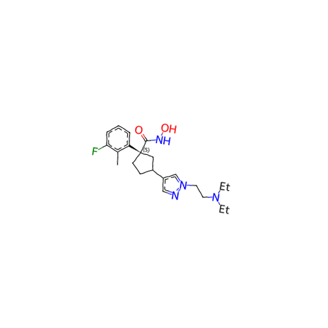 CCN(CC)CCn1cc(C2CC[C@@](C(=O)NO)(c3cccc(F)c3C)C2)cn1